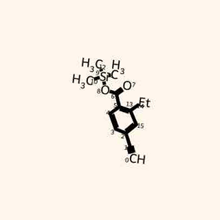 C#Cc1ccc(C(=O)O[Si](C)(C)C)c(CC)c1